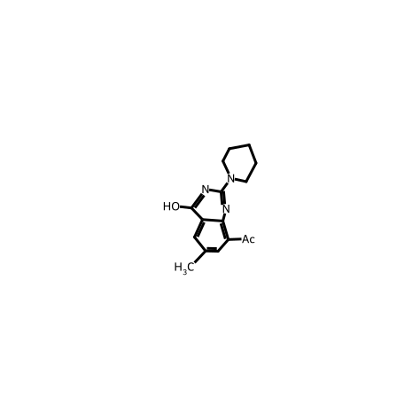 CC(=O)c1cc(C)cc2c(O)nc(N3CCCCC3)nc12